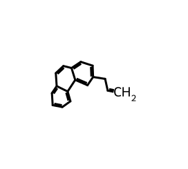 C=CCc1ccc2ccc3ccccc3c2c1